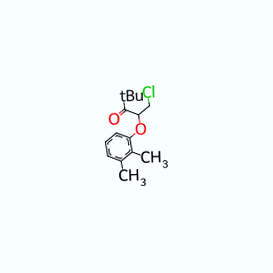 Cc1cccc(OC(CCl)C(=O)C(C)(C)C)c1C